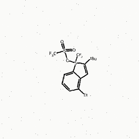 CCc1cccc2c1C=C(C(C)(C)C)S2(OS(=O)(=O)C(F)(F)F)C(F)(F)F